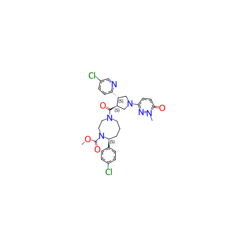 COC(=O)N1CCN(C(=O)[C@@H]2CN(c3ccc(=O)n(C)n3)C[C@H]2c2ccc(Cl)cn2)CCC[C@H]1c1ccc(Cl)cc1